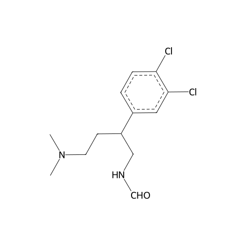 CN(C)CCC(CNC=O)c1ccc(Cl)c(Cl)c1